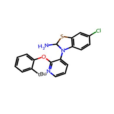 CC(C)(C)c1ccccc1Oc1ncccc1N1c2ccc(Cl)cc2SC1N